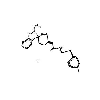 CN(C)C1(c2ccccc2)CCC(=CC(=O)NCCc2ccc(F)cc2)CC1.Cl